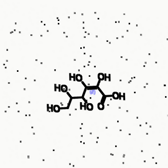 O=C(O)/C(O)=C(/O)C(O)C(O)CO